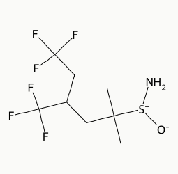 CC(C)(CC(CC(F)(F)F)C(F)(F)F)[S+](N)[O-]